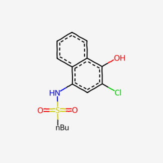 CCCCS(=O)(=O)Nc1cc(Cl)c(O)c2ccccc12